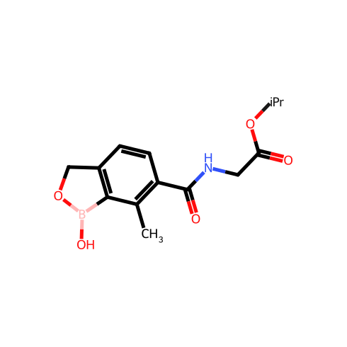 Cc1c(C(=O)NCC(=O)OC(C)C)ccc2c1B(O)OC2